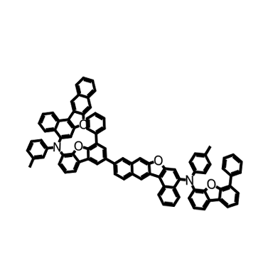 Cc1ccc(N(c2cc3oc4cc5cc(-c6cc(-c7ccccc7)c7oc8c(N(c9cccc(C)c9)c9cc%10oc%11cc%12ccccc%12cc%11c%10c%10ccccc9%10)cccc8c7c6)ccc5cc4c3c3ccccc23)c2cccc3c2oc2c(-c4ccccc4)cccc23)cc1